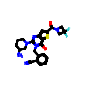 N#Cc1ccccc1Cn1c(N2CCCC(N)C2)nc2cc(C(=O)N3CC(F)(F)C3)sc2c1=O